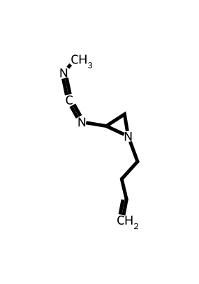 C=CCCN1CC1N=C=NC